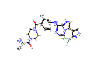 CCc1cc(Nc2nccn3c(-c4c[nH]nc4C(F)F)cnc23)ccc1C(=O)N1CCN(C(=O)[C@H](C)N)CC1